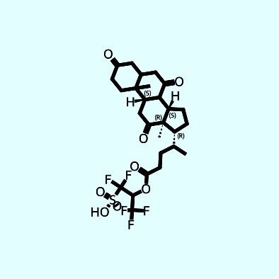 CC(CCC(=O)OC(C(F)(F)F)C(F)(F)S(=O)(=O)O)[C@H]1CC[C@H]2C3C(=O)CC4CC(=O)CCC4(C)[C@H]3CC(=O)[C@]12C